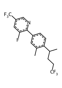 Cc1cc(-c2ncc(C(F)(F)F)cc2F)ccc1C(C)CCC(F)(F)F